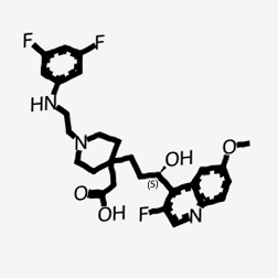 COc1ccc2ncc(F)c([C@@H](O)CCC3(CC(=O)O)CCN(CCNc4cc(F)cc(F)c4)CC3)c2c1